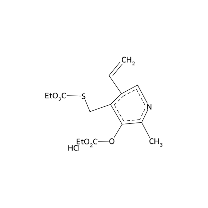 C=Cc1cnc(C)c(OC(=O)OCC)c1CSC(=O)OCC.Cl